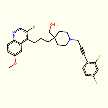 COc1ccc2ncc(Cl)c(CCCC3(CO)CCN(CC#Cc4ccc(F)cc4F)CC3)c2c1